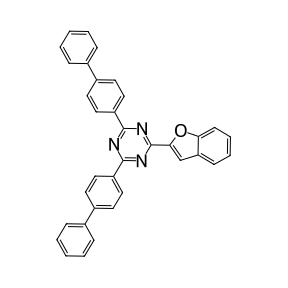 c1ccc(-c2ccc(-c3nc(-c4ccc(-c5ccccc5)cc4)nc(-c4cc5ccccc5o4)n3)cc2)cc1